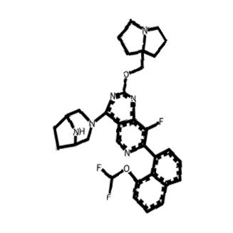 Fc1c(-c2cccc3cccc(OC(F)F)c23)ncc2c(N3CC4CCC(C3)N4)nc(OCC34CCCN3CCC4)nc12